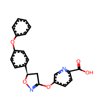 O=C(O)c1ccc(OC2=NO[C@@H](c3ccc(Oc4ccccc4)cc3)C2)cn1